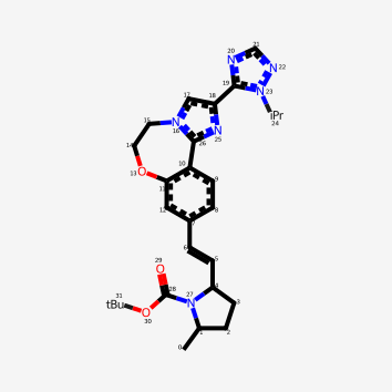 CC1CCC(/C=C/c2ccc3c(c2)OCCn2cc(-c4ncnn4C(C)C)nc2-3)N1C(=O)OC(C)(C)C